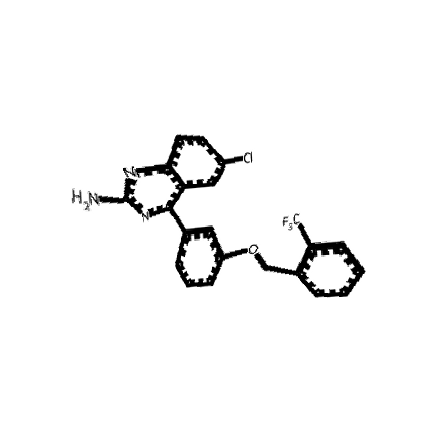 Nc1nc(-c2cccc(OCc3ccccc3C(F)(F)F)c2)c2cc(Cl)ccc2n1